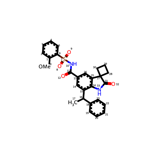 COc1ccccc1S(=O)(=O)NC(=O)c1cc(C(C)c2ccccc2)c2c(c1)C1(CCC1)C(=O)N2